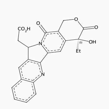 CC[C@@]1(O)C(=O)OCc2c1cc1n(c2=O)C(CC(=O)O)c2cc3ccccc3nc2-1